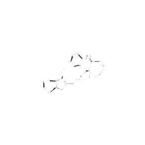 O=C1c2ccccc2CC1CCNc1c2c(nc3ccccc13)CCCC2